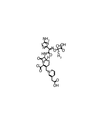 CC(C)(O/N=C(\C(=O)N[C@@H]1C(=O)N2C(C(=O)[O-])=C(C[n+]3cccc(CC(=O)O)c3)CS[C@@H]12)c1nsc(N)n1)C(=O)O